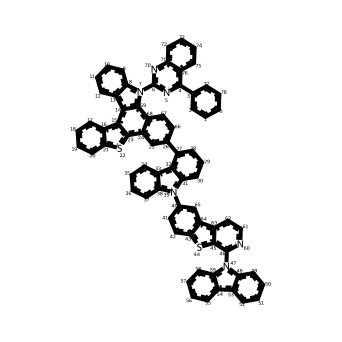 c1ccc(-c2nc(-n3c4ccccc4c4c5c6ccccc6sc5c5cc(-c6cccc7c6c6ccccc6n7-c6ccc7sc8c(-n9c%10ccccc%10c%10ccccc%109)nccc8c7c6)ccc5c43)nc3ccccc23)cc1